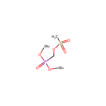 CC(C)(C)OP(=O)(COS(C)(=O)=O)OC(C)(C)C